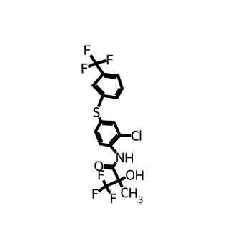 CC(O)(C(=O)Nc1ccc(Sc2cccc(C(F)(F)F)c2)cc1Cl)C(F)(F)F